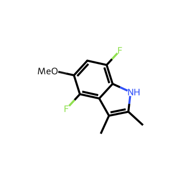 COc1cc(F)c2[nH]c(C)c(C)c2c1F